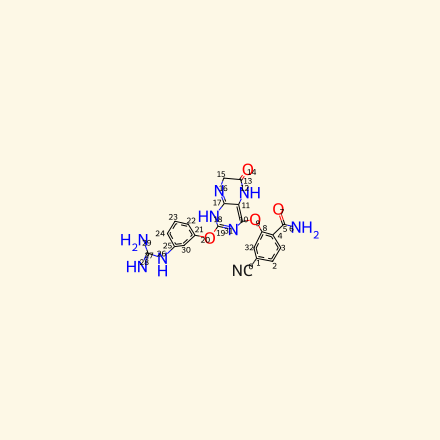 N#Cc1ccc(C(N)=O)c(OC2=C3NC(=O)CN=C3NC(Oc3cccc(NC(=N)N)c3)=N2)c1